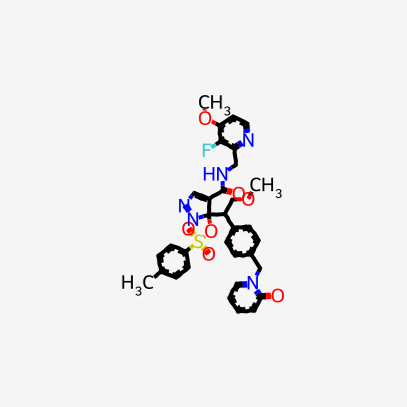 COCC(c1ccc(Cn2ccccc2=O)cc1)C1(OS(=O)(=O)c2ccc(C)cc2)N=NC=C1C(=O)NCc1nccc(OC)c1F